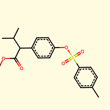 COC(=O)C(c1ccc(OS(=O)(=O)c2ccc(C)cc2)cc1)C(C)C